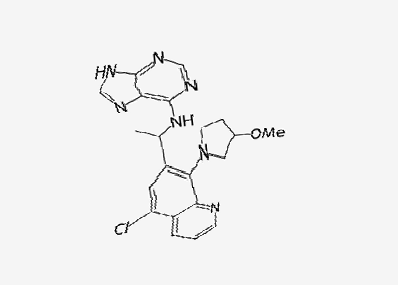 COC1CCN(c2c(C(C)Nc3ncnc4[nH]cnc34)cc(Cl)c3cccnc23)C1